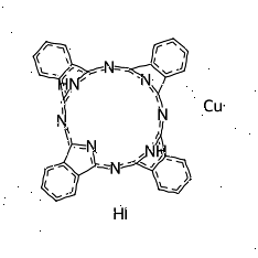 I.[Cu].c1ccc2c(c1)-c1nc-2nc2[nH]c(nc3nc(nc4[nH]c(n1)c1ccccc41)-c1ccccc1-3)c1ccccc21